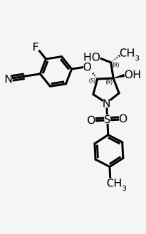 Cc1ccc(S(=O)(=O)N2C[C@H](Oc3ccc(C#N)c(F)c3)[C@](O)([C@@H](C)O)C2)cc1